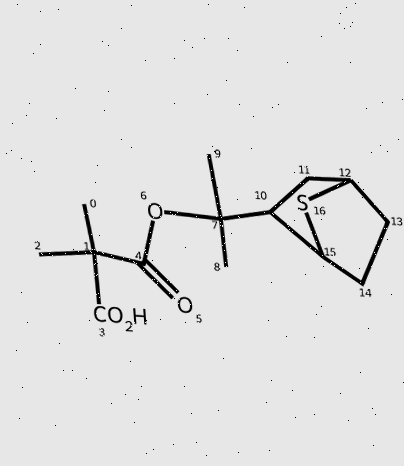 CC(C)(C(=O)O)C(=O)OC(C)(C)C1CC2CCC1S2